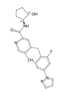 Cc1cnc(C(=O)N[C@H]2CCC[C@@H]2O)cc1Cc1ccc(-n2cccn2)cc1F